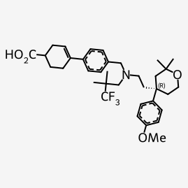 COc1ccc([C@]2(CCN(Cc3ccc(C4=CCC(C(=O)O)CC4)cc3)CC(C)(C)C(F)(F)F)CCOC(C)(C)C2)cc1